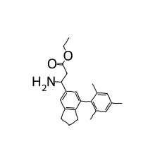 CCOC(=O)CC(N)c1cc2c(c(-c3c(C)cc(C)cc3C)c1)CCC2